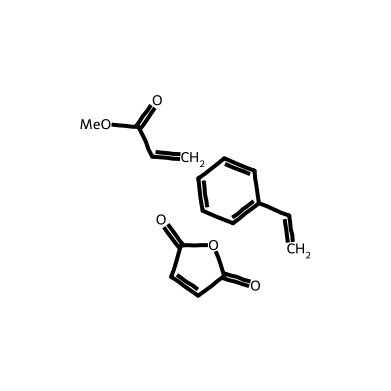 C=CC(=O)OC.C=Cc1ccccc1.O=C1C=CC(=O)O1